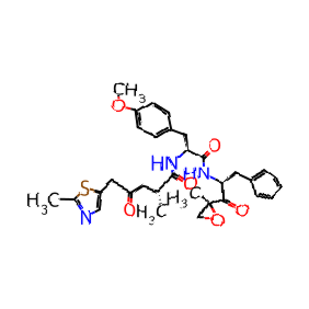 COc1ccc(C[C@H](NC(=O)[C@H](C)CC(=O)Cc2cnc(C)s2)C(=O)N[C@@H](Cc2ccccc2)C(=O)[C@@]2(C)CO2)cc1